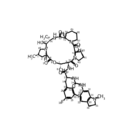 C[C@@H]1C[C@H]2C(=O)O[C@@H](C)[C@H](NC(=O)[C@H](Cc3cc(F)cc(F)c3)NC(=O)Nc3ccc4c(c3)N(C)CC4)C(=O)N3CCC[C@H]3C(=O)N3CCCC[C@H]3C(=O)N[C@@H](C)C(O)N2C1